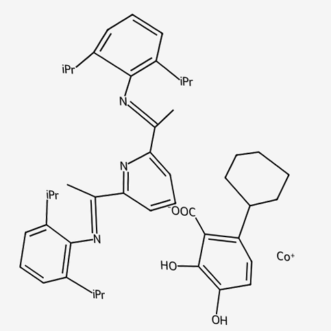 CC(=Nc1c(C(C)C)cccc1C(C)C)c1cccc(C(C)=Nc2c(C(C)C)cccc2C(C)C)n1.O=C([O-])c1c(C2CCCCC2)ccc(O)c1O.[Co+]